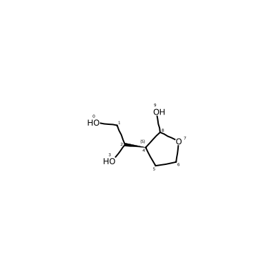 OCC(O)[C@@H]1CCOC1O